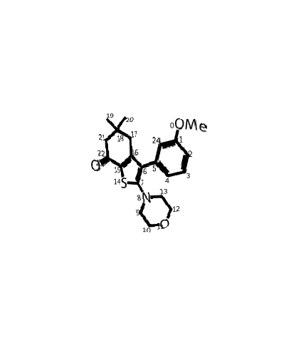 COc1cccc(-c2c(N3CCOCC3)sc3c2CC(C)(C)CC3=O)c1